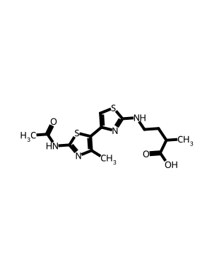 CC(=O)Nc1nc(C)c(-c2csc(NCCC(C)C(=O)O)n2)s1